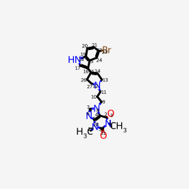 Cn1c(=O)c2c(ncn2CCCN2CC=C(c3c[nH]c4ccc(Br)cc34)CC2)n(C)c1=O